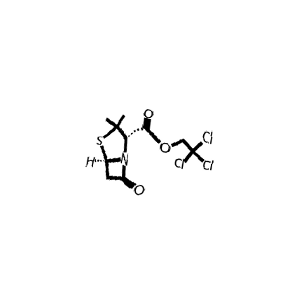 CC1(C)S[C@@H]2CC(=O)N2[C@H]1C(=O)OCC(Cl)(Cl)Cl